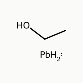 CCO.[PbH2]